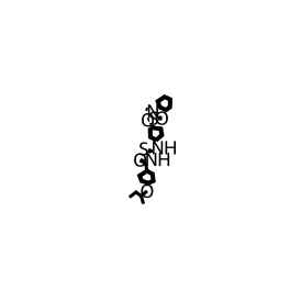 CCC(C)Oc1ccc(C(=O)NC(=S)Nc2ccc(S(=O)(=O)N(C)c3ccccc3)cc2)cc1